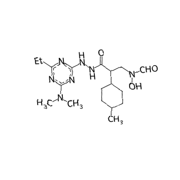 CCc1nc(NNC(=O)C(CN(O)C=O)C2CCC(C)CC2)nc(N(C)C)n1